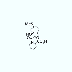 CSC1CCC(C)C(O)(C(=O)C(=O)N2CCCCC2C(=O)O)O1